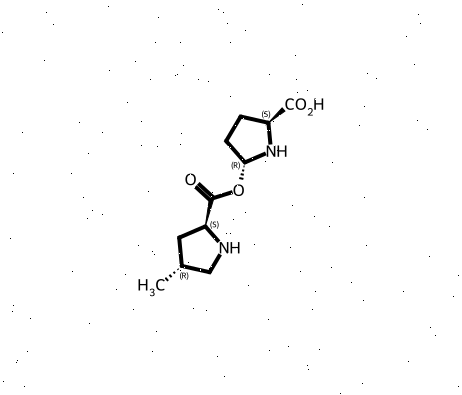 C[C@H]1CN[C@H](C(=O)O[C@@H]2CC[C@@H](C(=O)O)N2)C1